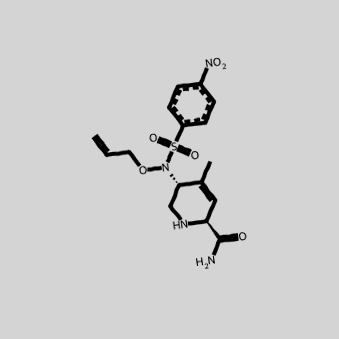 C=CCON([C@H]1CN[C@H](C(N)=O)C=C1C)S(=O)(=O)c1ccc([N+](=O)[O-])cc1